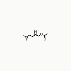 CC(=O)OCNCCN(C)C